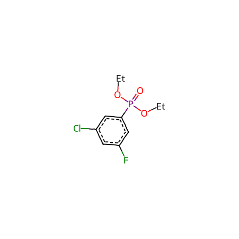 CCOP(=O)(OCC)c1cc(F)cc(Cl)c1